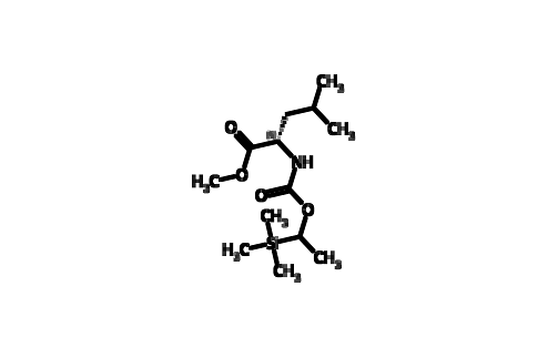 COC(=O)[C@H](CC(C)C)NC(=O)OC(C)[Si](C)(C)C